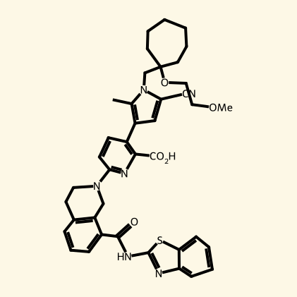 COCCOC1(Cn2c(C#N)cc(-c3ccc(N4CCc5cccc(C(=O)Nc6nc7ccccc7s6)c5C4)nc3C(=O)O)c2C)CCCCCC1